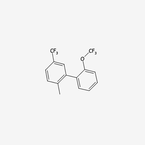 Cc1ccc(C(F)(F)F)cc1-c1ccccc1OC(F)(F)F